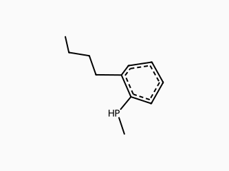 CCCCc1ccccc1PC